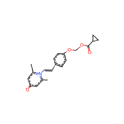 Cc1cc(=O)cc(C)n1/C=C/c1ccc(OCOC(=O)C2CC2)cc1